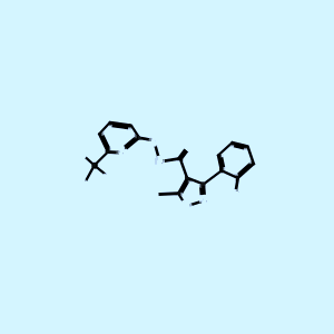 Cc1onc(-c2ccccc2Cl)c1C(=O)NNc1cccc(C(F)(F)F)n1